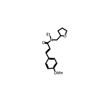 CCN(CC1CCCO1)C(=O)/C=C/c1ccc(OC)cc1